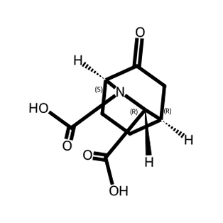 O=C1C[C@H]2CC[C@@H]1N(C(=O)O)[C@H]2C(=O)O